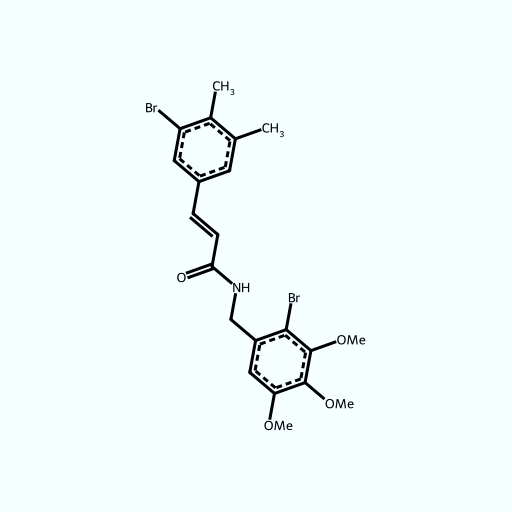 COc1cc(CNC(=O)/C=C/c2cc(C)c(C)c(Br)c2)c(Br)c(OC)c1OC